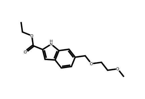 CCOC(=O)c1cc2ccc(COCCOC)cc2[nH]1